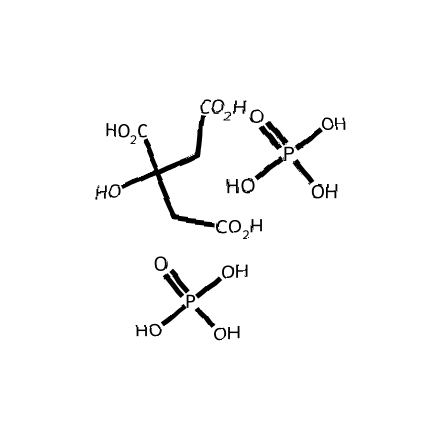 O=C(O)CC(O)(CC(=O)O)C(=O)O.O=P(O)(O)O.O=P(O)(O)O